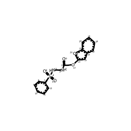 O=C(NNS(=O)(=O)c1ccccc1)Oc1cc2ccccc2o1